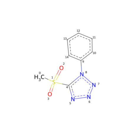 CS(=O)(=O)c1nnnn1-c1ccccc1